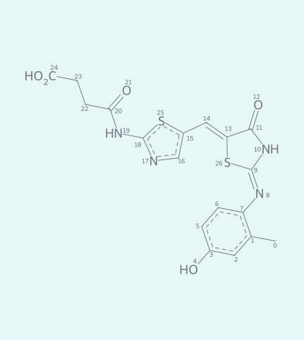 Cc1cc(O)ccc1/N=C1/NC(=O)/C(=C/c2cnc(NC(=O)CCC(=O)O)s2)S1